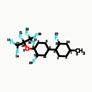 CC1CCC(C2CCC(OC(F)(C(F)F)C(F)(F)F)C(F)C2)C(F)C1